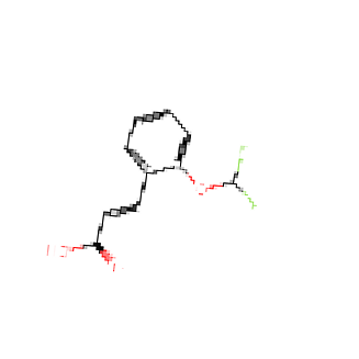 O=C(O)C=Cc1ccccc1OC(F)F